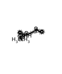 CN(C)C(=O)c1sc(NC(=O)CCCCCCSC(=O)CCc2ccccc2)nc1-c1ccccc1